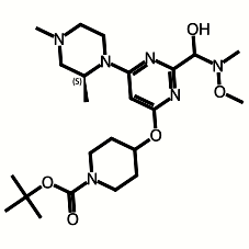 CON(C)C(O)c1nc(OC2CCN(C(=O)OC(C)(C)C)CC2)cc(N2CCN(C)C[C@@H]2C)n1